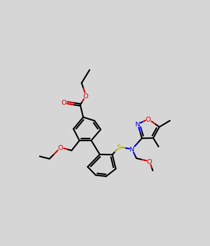 CCOCc1cc(C(=O)OCC)ccc1-c1ccccc1SN(COC)c1noc(C)c1C